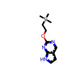 C[Si](C)(C)CCOc1ncc2cc[nH]c2n1